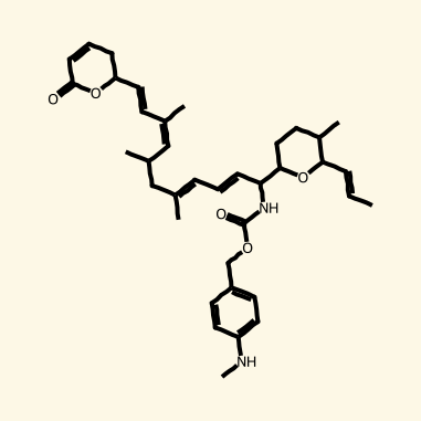 C/C=C/C1OC(C(/C=C/C=C(\C)CC(C)/C=C(C)\C=C\C2CC=CC(=O)O2)NC(=O)OCc2ccc(NC)cc2)CCC1C